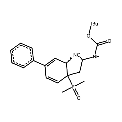 CC(C)(C)OC(=O)NC(C#N)CC1(P(C)(C)=O)C=CC(c2ccccc2)=CC1F